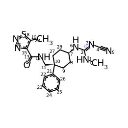 CN/C(=N\C#N)N[C@H]1CC[C@](CNC(=O)c2nnsc2C)(c2ccccc2)CC1